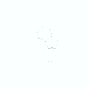 CNCc1c[nH]c2cccc(C)c12